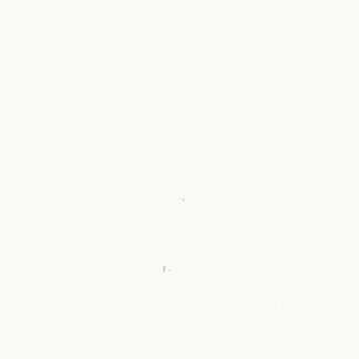 CCCCC1CCC(c2nc(C(=O)Nc3cc(OC)ccc3-c3ccccc3)cs2)CC1